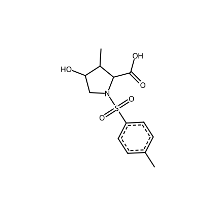 Cc1ccc(S(=O)(=O)N2CC(O)C(C)C2C(=O)O)cc1